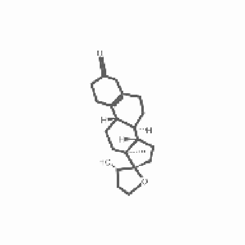 C[C@]12CC[C@@H]3C4=C(CC[C@H]3[C@@H]1CC[C@]21OCC[C@@H]1O)CC(=O)CC4